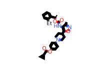 CCc1ccccc1[C@@H](C)OC(=O)Nc1c(C)noc1C1CCN(c2ccc(OC(=O)C3CC3)cc2)CC1